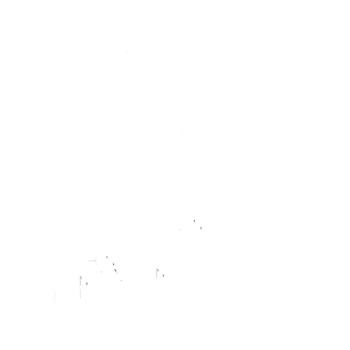 CCNC[C@@]1(N)CCN(CC(=O)Nc2ccc(/C(=C(/CCCO)c3ccccc3)c3ccc(O)cc3)cc2)C1